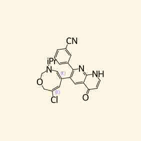 CC(C)N1/C=C(c2cc3c(=O)cc[nH]c3nc2-c2cccc(C#N)c2)\C=C(\Cl)COC1